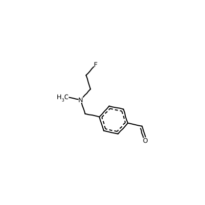 CN(CCF)Cc1ccc(C=O)cc1